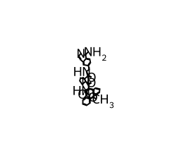 COc1ccccc1S(=O)(=O)NC(C(=O)N1CCCC1C(=O)NCc1ccc2c(N)nccc2c1)c1ccccc1